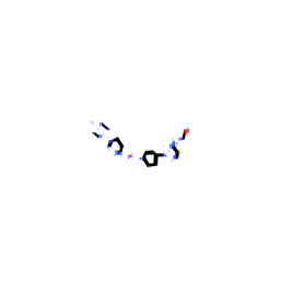 CSc1cnc(-c2ccc(NC(=O)Nc3ccc(N4CCN(C)CC4)cn3)cc2)nc1NCCO